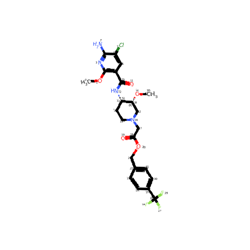 COc1nc(N)c(Cl)cc1C(=O)N[C@H]1CCN(CC(=O)OCc2ccc(C(F)(F)F)cc2)C[C@H]1OC